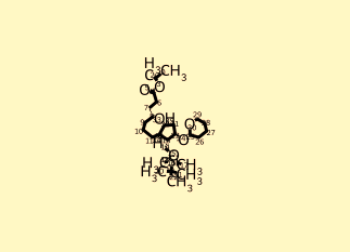 CC(C)OC(=O)CC[C@H]1CCC[C@@H]2[C@@H](CO[Si](C)(C)C(C)(C)C)[C@H](OC3CCCCO3)C[C@@H]2O1